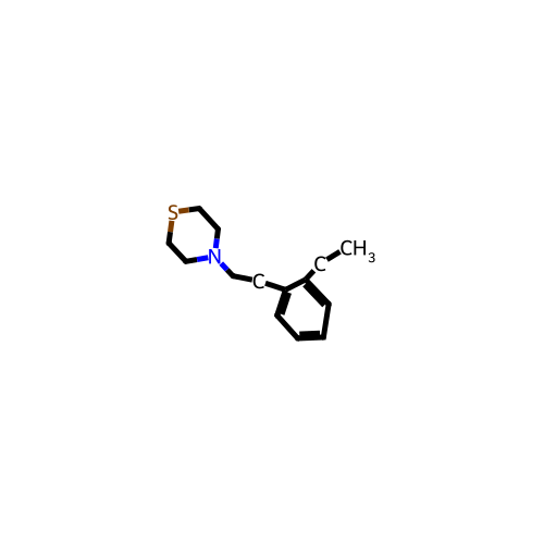 CCc1ccccc1CCN1CCSCC1